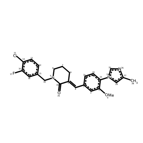 COc1cc(C=C2CCCN(Cc3ccc(Cl)c(F)c3)C2=O)ccc1-n1cnc(C)c1